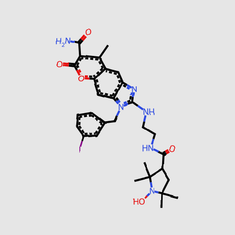 Cc1c(C(N)=O)c(=O)oc2cc3c(cc12)nc(NCCNC(=O)C1CC(C)(C)N(O)C1(C)C)n3Cc1cccc(I)c1